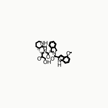 COc1cccc2[nH]c(C(=O)N3Cc4ccccc4[C@H]3C(=O)N[C@@H](C[C@@H]3CCCNC3=O)C(=O)CO)cc12